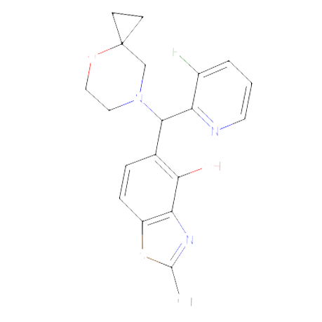 Cc1nc2c(O)c(C(c3ncccc3F)N3CCOC4(CC4)C3)ccc2s1